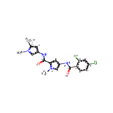 Cn1cc(NC(=O)c2cc(NC(=O)c3ccc(Cl)cc3F)cn2C)cc1C(=O)O